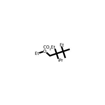 CCOCC(C(=O)OCC)(C(C)C)C(C)(C)CC